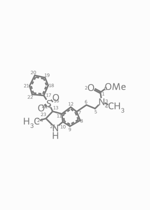 COC(=O)N(C)CCc1ccc2c(c1)C(S(=O)(=O)c1ccccc1)C(C)N2